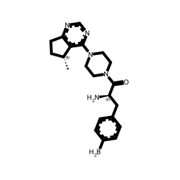 Bc1ccc(C[C@@H](N)C(=O)N2CCN(c3ncnc4c3[C@H](C)CC4)CC2)cc1